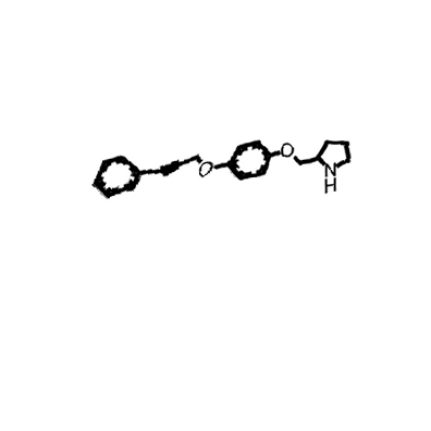 C(#Cc1ccccc1)COc1ccc(OCC2CCCN2)cc1